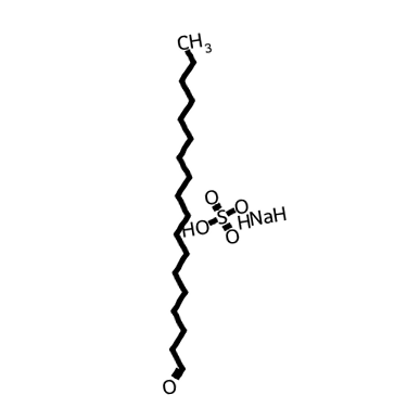 CCCCCCCCCCCCCCCCCC=O.O=S(=O)(O)O.[NaH]